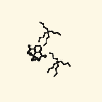 CCCC[P+](CCCC)(CCCC)CCCC.CCCC[P+](CCCC)(CCCC)CCCC.O=C([O-])c1cccc(C(=O)[O-])c1S(=O)(=O)O